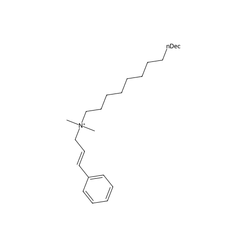 CCCCCCCCCCCCCCCCCC[N+](C)(C)CC=Cc1ccccc1